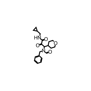 O=CN(Cc1ccccc1)C(C(=O)C(=O)NCC1CC1)C1CCOCC1